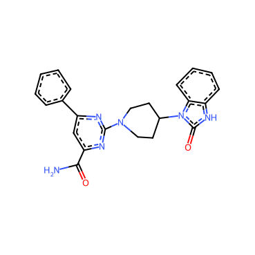 NC(=O)c1cc(-c2ccccc2)nc(N2CCC(n3c(=O)[nH]c4ccccc43)CC2)n1